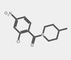 CC1CCN(C(=O)c2ccc([N+](=O)[O-])cc2Cl)CC1